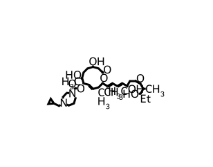 CCC(O)C(C)C1OC1CC(C)(O)/C=C/C=C(\C)C1OC(=O)CC(O)CCC(C)(O)C(OC(=O)N2CCCN(CC3CC3)CC2)/C=C/C1C